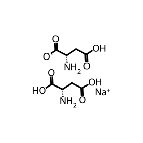 N[C@@H](CC(=O)O)C(=O)O.N[C@@H](CC(=O)O)C(=O)[O-].[Na+]